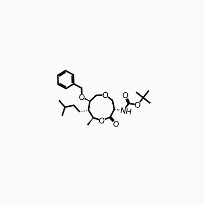 CC(C)CC[C@H]1[C@H](C)OC(=O)[C@@H](NC(=O)OC(C)(C)C)COC[C@@H]1OCc1ccccc1